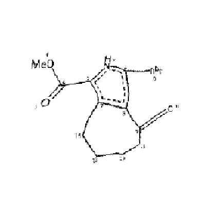 CCCc1[nH]c(C(=O)OC)c2c1C(=O)CCCC2